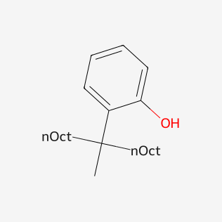 CCCCCCCCC(C)(CCCCCCCC)c1ccccc1O